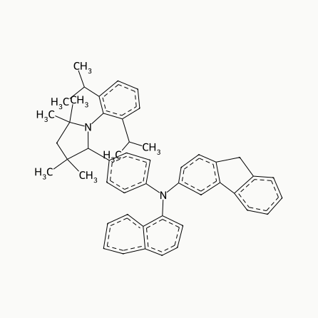 CC(C)c1cccc(C(C)C)c1N1C(c2ccc(N(c3ccc4c(c3)-c3ccccc3C4)c3cccc4ccccc34)cc2)C(C)(C)CC1(C)C